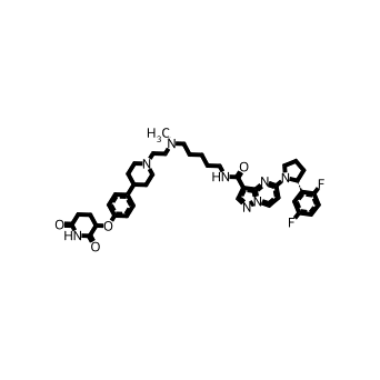 CN(CCCCCNC(=O)c1cnn2ccc(N3CCC[C@@H]3c3cc(F)ccc3F)nc12)CCN1CCC(c2ccc(OC3CCC(=O)NC3=O)cc2)CC1